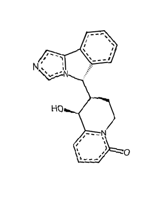 O=c1cccc2n1CC[C@H]([C@H]1c3ccccc3-c3cncn31)[C@@H]2O